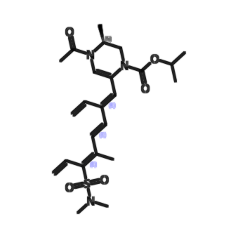 C=CC(/C=C/C(C)=C(\C=C)S(=O)(=O)N(C)C)=C\C1=CN(C(C)=O)[C@@H](C)CN1C(=O)OC(C)C